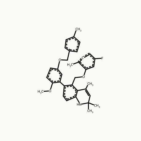 COc1ccc(OCc2ccc(C)cc2)cc1-c1ccc2c(c1COc1cc(F)ccc1C)C(C)=CC(C)(C)N2